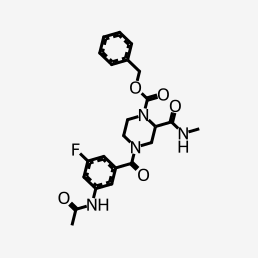 CNC(=O)C1CN(C(=O)c2cc(F)cc(NC(C)=O)c2)CCN1C(=O)OCc1ccccc1